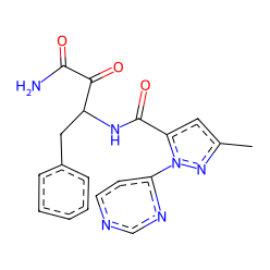 Cc1cc(C(=O)NC(Cc2ccccc2)C(=O)C(N)=O)n(-c2ccncn2)n1